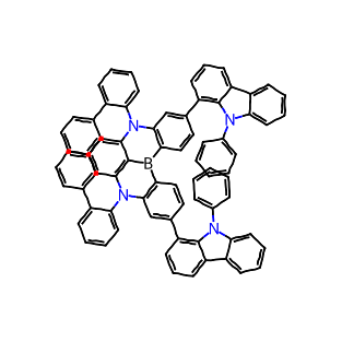 c1ccc(-c2ccccc2N2c3cc(-c4cccc5c6ccccc6n(-c6ccccc6)c45)ccc3B3c4ccc(-c5cccc6c7ccccc7n(-c7ccccc7)c56)cc4N(c4ccccc4-c4ccccc4)c4cccc2c43)cc1